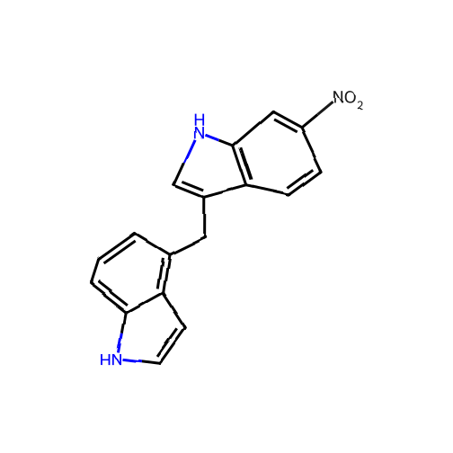 O=[N+]([O-])c1ccc2c(Cc3cccc4[nH]ccc34)c[nH]c2c1